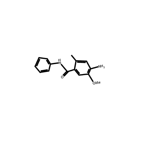 COc1cc(C(=O)Nc2ccccc2)c(C)cc1N